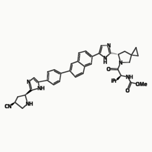 [C-]#[N+][C@@H]1CN[C@H](c2ncc(-c3ccc(-c4ccc5cc(-c6cnc([C@@H]7CC8(CC8)CN7C(=O)[C@@H](NC(=O)OC)C(C)C)[nH]6)ccc5c4)cc3)[nH]2)C1